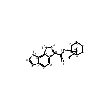 O=C(N[C@@H]1CN2CCC1CC2)c1n[nH]c2c1ccc1cc[nH]c12